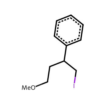 COCCC(CI)c1ccccc1